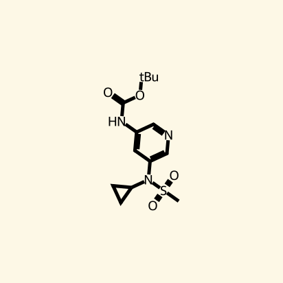 CC(C)(C)OC(=O)Nc1cncc(N(C2CC2)S(C)(=O)=O)c1